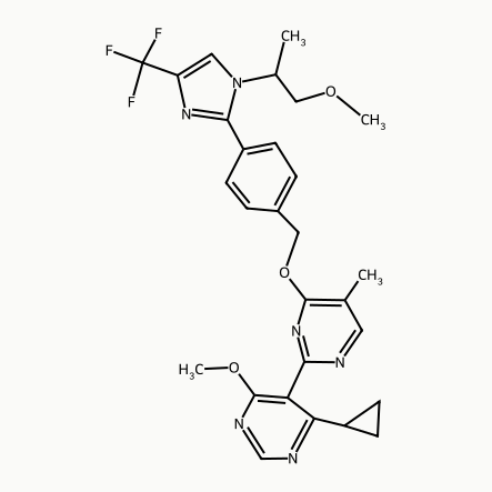 COCC(C)n1cc(C(F)(F)F)nc1-c1ccc(COc2nc(-c3c(OC)ncnc3C3CC3)ncc2C)cc1